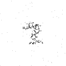 CN[C@@H](C)c1cccc(-c2ccc3cnn(-c4cccc(C)n4)c3c2)n1